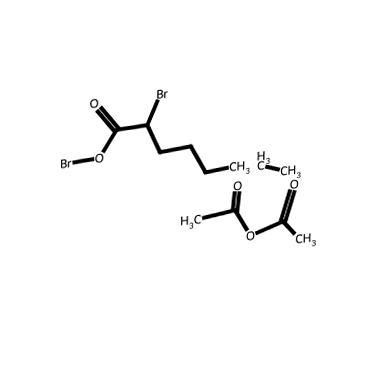 CC.CC(=O)OC(C)=O.CCCCC(Br)C(=O)OBr